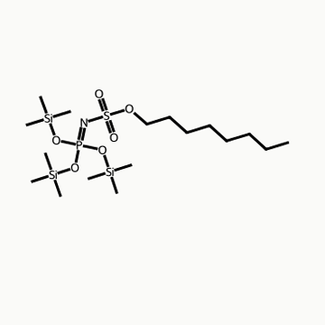 CCCCCCCCOS(=O)(=O)N=P(O[Si](C)(C)C)(O[Si](C)(C)C)O[Si](C)(C)C